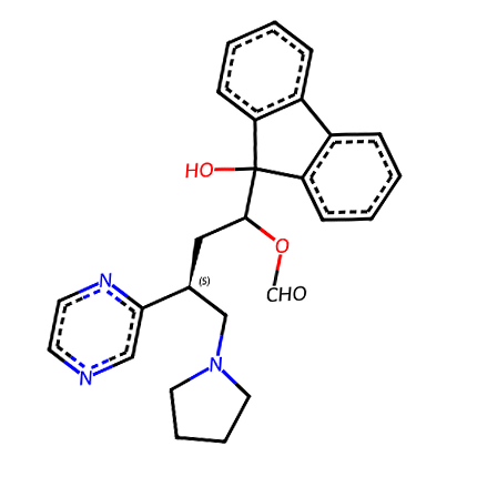 O=COC(C[C@@H](CN1CCCC1)c1cnccn1)C1(O)c2ccccc2-c2ccccc21